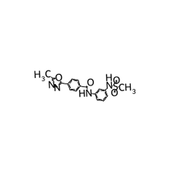 Cc1nnc(-c2ccc(C(=O)Nc3cccc(NS(C)(=O)=O)c3)cc2)o1